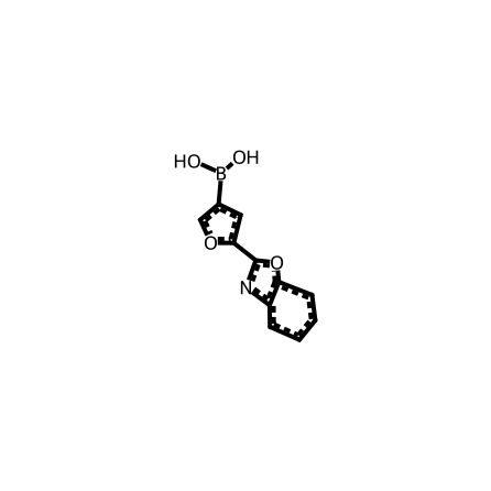 OB(O)c1coc(-c2nc3ccccc3o2)c1